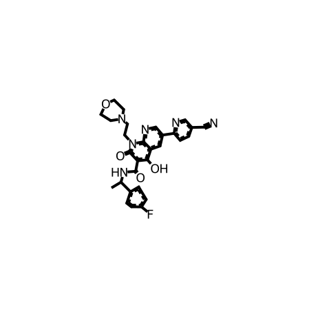 CC(NC(=O)c1c(O)c2cc(-c3ccc(C#N)cn3)cnc2n(CCN2CCOCC2)c1=O)c1ccc(F)cc1